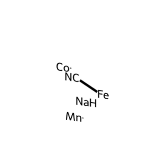 N#[C][Fe].[Co].[Mn].[NaH]